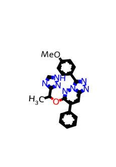 COc1ccc(-c2nnc3cc(-c4ccccc4)c(OC(C)c4nc[nH]n4)nn23)cc1